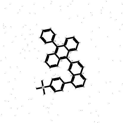 C[Si](C)(C)c1ccc(-c2cccc3ccc(-c4c5ccccc5c(-c5ccccc5)c5ccccc45)cc23)cc1